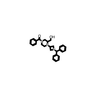 O=C(c1ccccc1)N1CCN(C2CN(C(c3ccccc3)c3ccccc3)C2)C(CO)C1